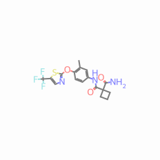 Cc1cc(NC(=O)C2(C(N)=O)CCC2)ccc1Oc1ncc(C(F)(F)F)s1